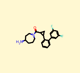 NC1CCCN(C(=O)C2CC2c2ccccc2-c2cc(F)cc(F)c2)CC1